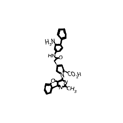 Cc1nc(N2C[C@@H](CC(=O)Nc3ccc(-c4ccccc4)c(N)c3)C[C@H]2C(=O)O)c2oc3ccccc3c2n1